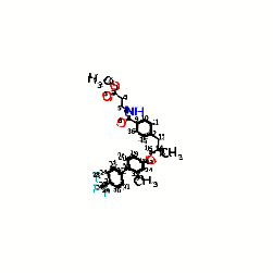 COC(=O)CCNC(=O)c1ccc(CC(C)COc2ccc(-c3ccc(C(F)(F)F)cc3)c(C)c2)cc1